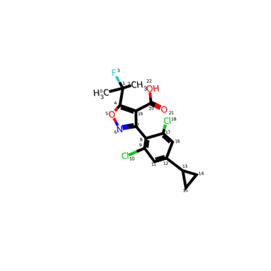 CC(C)(F)c1onc(-c2c(Cl)cc(C3CC3)cc2Cl)c1C(=O)O